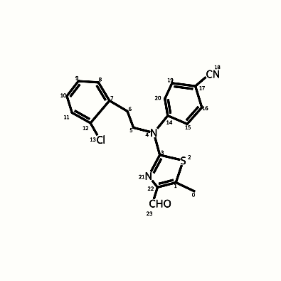 Cc1sc(N(CCc2ccccc2Cl)c2ccc(C#N)cc2)nc1C=O